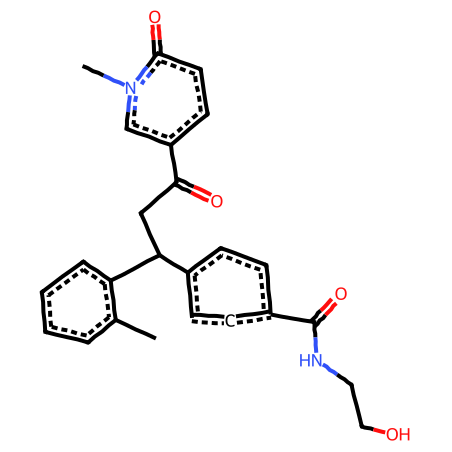 Cc1ccccc1C(CC(=O)c1ccc(=O)n(C)c1)c1ccc(C(=O)NCCO)cc1